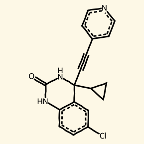 O=C1Nc2ccc(Cl)cc2C(C#Cc2ccncc2)(C2CC2)N1